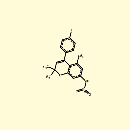 Cc1cc(N[SH](=O)=O)cc2c1C(c1ccc(F)cc1)=CC(C)(C)O2